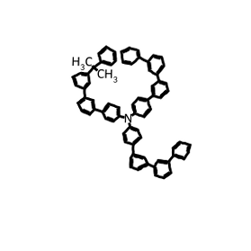 CC(C)(c1ccccc1)c1cccc(-c2cccc(-c3ccc(N(c4ccc(-c5cccc(-c6cccc(-c7ccccc7)c6)c5)cc4)c4ccc(-c5cccc(-c6cccc(-c7ccccc7)c6)c5)cc4)cc3)c2)c1